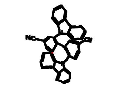 N#Cc1ccc(-n2c3ccccc3c3ccccc32)c(-c2ccc(C#N)cc2-n2c3ccccc3c3ccccc32)c1